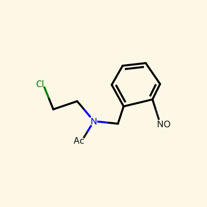 CC(=O)N(CCCl)Cc1ccccc1N=O